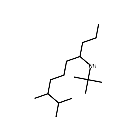 CCCC(CCCC(C)C(C)C)NC(C)(C)C